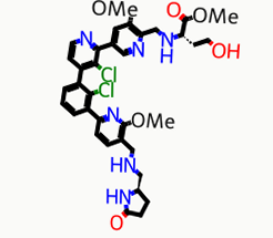 COC(=O)[C@H](CCO)NCc1ncc(-c2nccc(-c3cccc(-c4ccc(CNC[C@H]5CCC(=O)N5)c(OC)n4)c3Cl)c2Cl)cc1OC